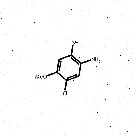 COc1cc(S)c(N)cc1Cl